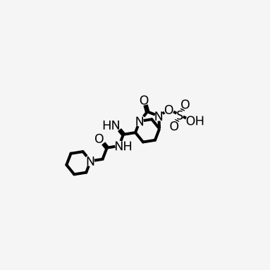 N=C(NC(=O)CN1CCCCC1)C1CCC2CN1C(=O)N2OS(=O)(=O)O